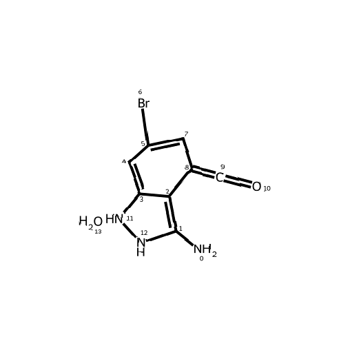 NC1=c2c(cc(Br)cc2=C=O)NN1.O